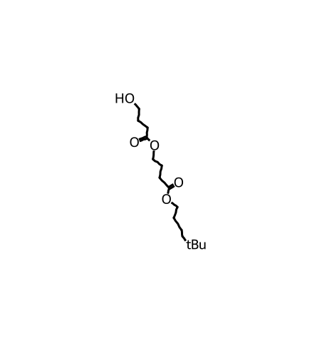 CC(C)(C)CCCCOC(=O)CCCOC(=O)CCCO